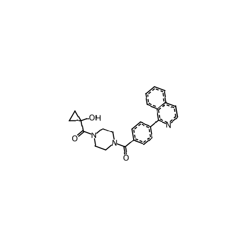 O=C(c1ccc(-c2nccc3ccccc23)cc1)N1CCN(C(=O)C2(O)CC2)CC1